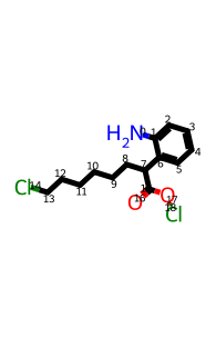 Nc1ccccc1C(CCCCCCCl)C(=O)OCl